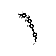 CCCCc1ccc(C#Cc2ccc(-c3ccc(C(F)(F)Oc4cc(F)c(C(F)(F)F)c(F)c4)c(F)c3)c(F)c2)c(F)c1